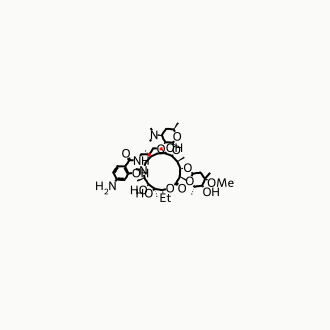 CC[C@H]1OC(=O)[C@H](C)[C@@H](O[C@H]2C[C@@](C)(OC)[C@@H](O)[C@H](C)O2)[C@H](C)[C@@H](O[C@@H]2O[C@H](C)C[C@H](N(C)C)[C@H]2OCCCNC(=O)c2ccc(N)cc2O)[C@](C)(O)C[C@@H](C)CN(C)[C@H](C)[C@@H](O)[C@]1(C)O